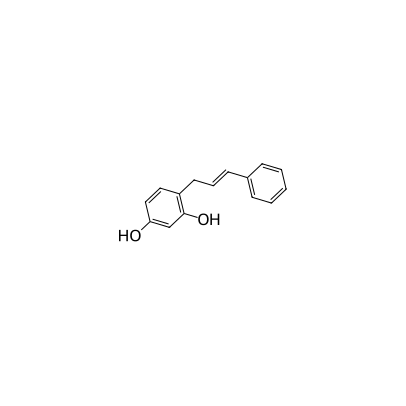 Oc1ccc(C/C=C/c2ccccc2)c(O)c1